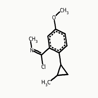 C/N=C(/Cl)c1cc(OC)ccc1C1CC1C